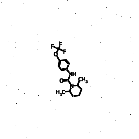 CC1CCCC(C)N1C(=O)Nc1ccc(OC(F)(F)F)cc1